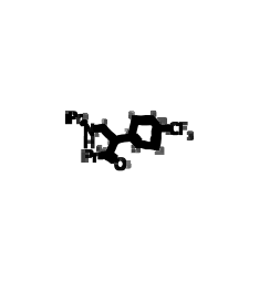 CC(C)NCC(C(=O)C(C)C)c1ccc(C(F)(F)F)cc1